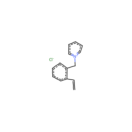 C=Cc1ccccc1C[n+]1ccccc1.[Cl-]